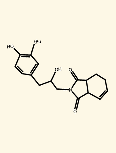 CC(C)(C)c1cc(CC(O)CN2C(=O)C3C=CCCC3C2=O)ccc1O